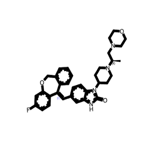 C[C@H](CN1CCOCC1)N1CCC(n2c(=O)[nH]c3cc(/C=C4\c5ccccc5COc5cc(F)ccc54)ccc32)CC1